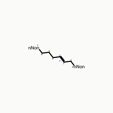 [CH2]CCCCCCCCC/C=C/CCCCCCCCCCC[CH2]